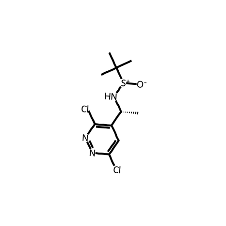 C[C@@H](N[S+]([O-])C(C)(C)C)c1cc(Cl)nnc1Cl